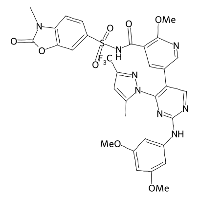 COc1cc(Nc2ncc(-c3cnc(OC)c(C(=O)NS(=O)(=O)c4ccc5c(c4)oc(=O)n5C)c3)c(-n3nc(C(F)(F)F)cc3C)n2)cc(OC)c1